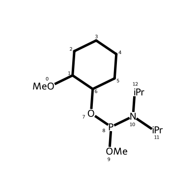 COC1CCCCC1OP(OC)N(C(C)C)C(C)C